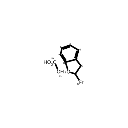 CCC1Cc2ccccc2O1.O=C(O)O